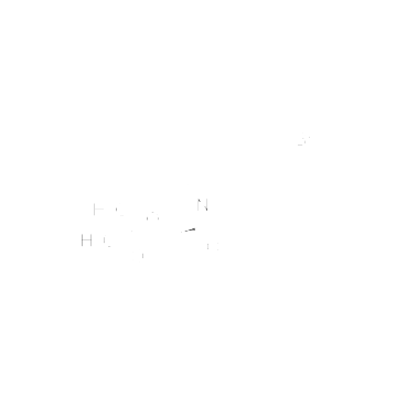 CC1(C)OC[C@H](C(=O)N2CCC3(CCc4c(Br)cccc43)C2)O1